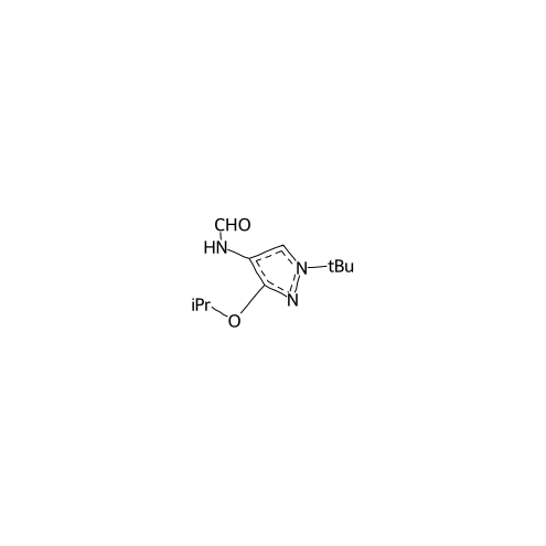 CC(C)Oc1nn(C(C)(C)C)cc1NC=O